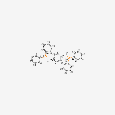 c1ccc(P(Cc2ccc(CP(c3ccccc3)c3ccccc3)cc2)c2ccccc2)cc1